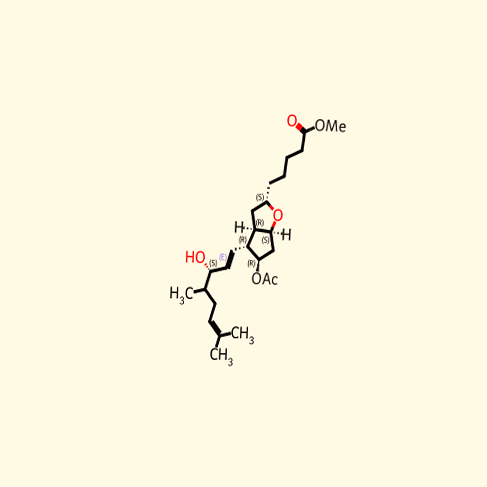 COC(=O)CCCC[C@H]1C[C@@H]2[C@@H](/C=C/[C@@H](O)C(C)CC=C(C)C)[C@H](OC(C)=O)C[C@@H]2O1